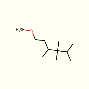 CC(C)C(C)(C)C(C)CCO[SiH3]